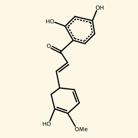 COC1=C(O)CC(C=CC(=O)c2ccc(O)cc2O)C=C1